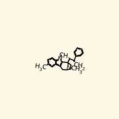 C=C(CC12CCC(Cc3c1n(C)c1ccc(C)cc31)N2C)c1ccccc1